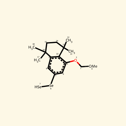 COCOc1cc([Se][SeH])cc2c1C(C)(C)CCC2(C)C